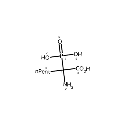 CCCCCC(N)(C(=O)O)P(=O)(O)O